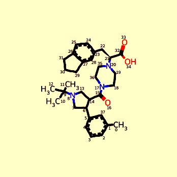 Cc1cccc(C2CN(C(C)(C)C)CC2C(=O)N2CCN([C@@H](Cc3ccc4c(c3)CCC4)C(=O)O)CC2)c1